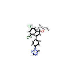 COC(C)(/C=C/c1ccc(-n2cncn2)cc1)c1cc(Cl)cc(Cl)c1